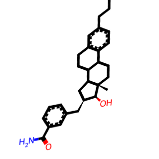 C[C@]12CCC3c4ccc(CCCO)cc4CCC3C1C[C@H](Cc1cccc(C(N)=O)c1)[C@@H]2O